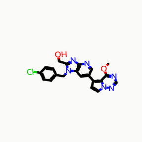 COc1ncnn2ccc(-c3cnc4nc(CO)n(Cc5ccc(Cl)cc5)c4c3)c12